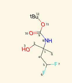 CC(CO)(CC(F)F)NC(=O)OC(C)(C)C